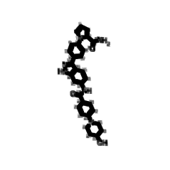 NC(=O)c1cccn1-c1ccc(-c2n[nH]c3cc(NC(=O)c4ccc(N5CCC(O)CC5)cc4)ccc23)cc1